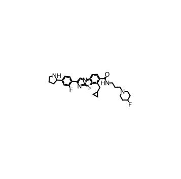 O=C(NCCCN1CCC(F)CC1)c1ccc2c(sc3nc(-c4ccc(C5CCCN5)cc4F)cn32)c1CC1CC1